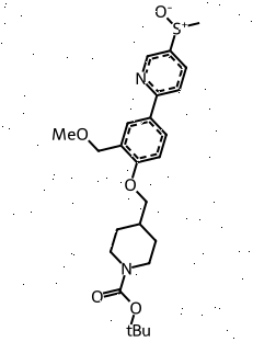 COCc1cc(-c2ccc([S+](C)[O-])cn2)ccc1OCC1CCN(C(=O)OC(C)(C)C)CC1